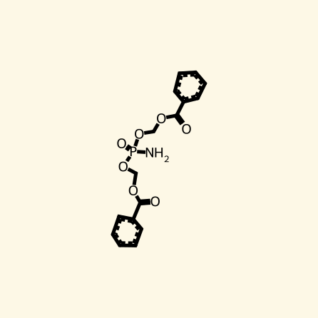 NP(=O)(OCOC(=O)c1ccccc1)OCOC(=O)c1ccccc1